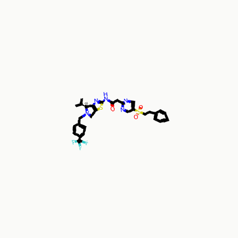 CC(C)[C@H]1c2nc(NC(=O)Cc3ncc(S(=O)(=O)CCc4ccccc4)cn3)sc2CN1Cc1ccc(C(F)(F)F)cc1